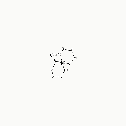 C1CC[N+]2(CC1)CCCCC2.[Cl-]